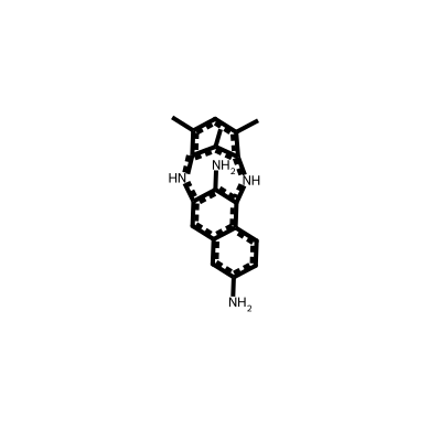 Cc1cc(C)c2[nH]c3c(N)c(cc4cc(N)ccc43)[nH]c1c2C